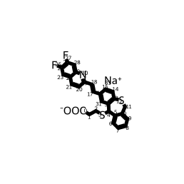 O=C([O-])CCSC1c2ccccc2CSc2ccc(/C=C/c3ccc4cc(F)c(F)cc4n3)cc21.[Na+]